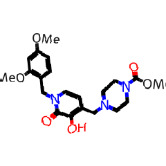 COC(=O)N1CCN(Cc2ccn(Cc3ccc(OC)cc3OC)c(=O)c2O)CC1